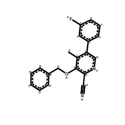 Cc1c(-c2cccc(F)c2)cnc(C#N)c1OCc1ccccc1